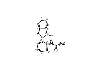 CN1c2ccccc2CC1c1ccccc1NC(=O)C(C)(C)C